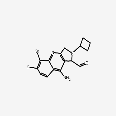 Nc1c2c(nc3c(Br)c(F)ccc13)CN(C1CCC1)C2C=O